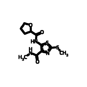 CNC(=O)c1nc(SC)sc1NC(=O)C1CCCO1